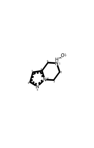 [O-][NH+]1CCn2nccc2C1